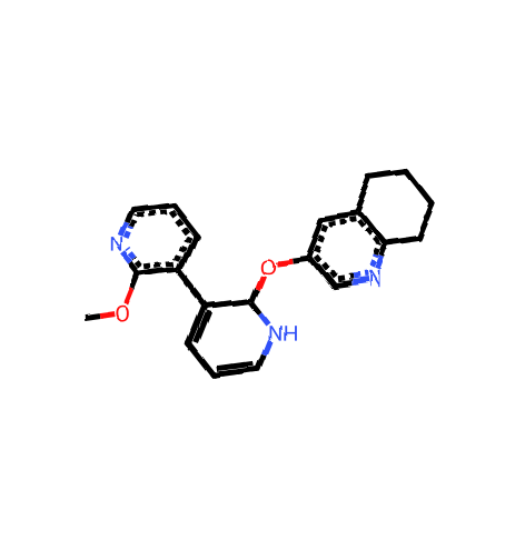 COc1ncccc1C1=CC=CNC1Oc1cnc2c(c1)CCCC2